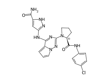 NC(=O)c1cc(Nc2nc(N3CCC[C@H]3C(=O)Nc3ccc(Cl)cc3)nn3cccc23)n[nH]1